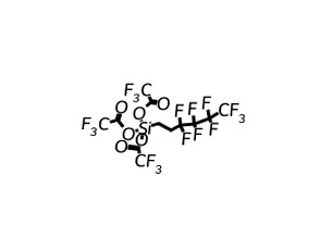 O=C(O[Si](CCC(F)(F)C(F)(F)C(F)(F)C(F)(F)F)(OC(=O)C(F)(F)F)OC(=O)C(F)(F)F)C(F)(F)F